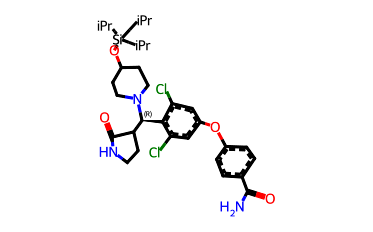 CC(C)[Si](OC1CCN([C@@H](c2c(Cl)cc(Oc3ccc(C(N)=O)cc3)cc2Cl)C2CCNC2=O)CC1)(C(C)C)C(C)C